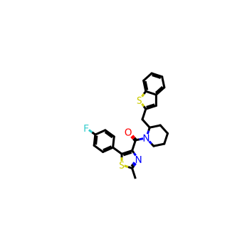 Cc1nc(C(=O)N2CCCCC2Cc2cc3ccccc3s2)c(-c2ccc(F)cc2)s1